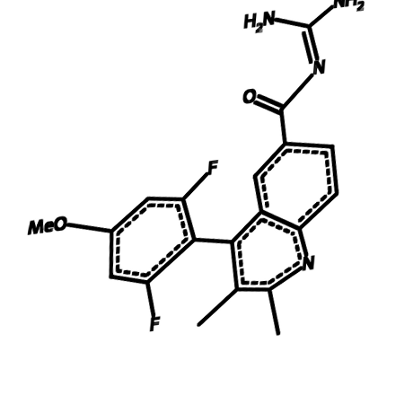 COc1cc(F)c(-c2c(C)c(C)nc3ccc(C(=O)N=C(N)N)cc23)c(F)c1